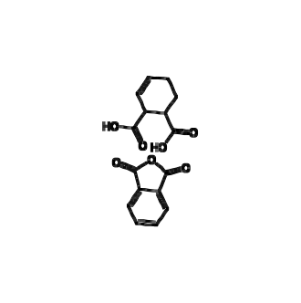 O=C(O)C1C=CCCC1C(=O)O.O=C1OC(=O)c2ccccc21